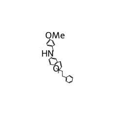 COc1ccc(CNc2ccc3c(c2)C=CC(C)(CCc2ccccc2)O3)cc1